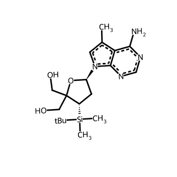 Cc1cn([C@H]2C[C@H]([Si](C)(C)C(C)(C)C)C(CO)(CO)O2)c2ncnc(N)c12